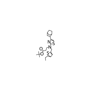 CCc1ccc(CN(CCC(=O)OC(C)(C)C)c2nc(C3CC4CCC3C4)cs2)s1